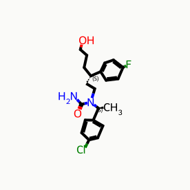 C[C@@H](c1ccc(Cl)cc1)N(CC[C@H](CCCO)c1ccc(F)cc1)C(N)=O